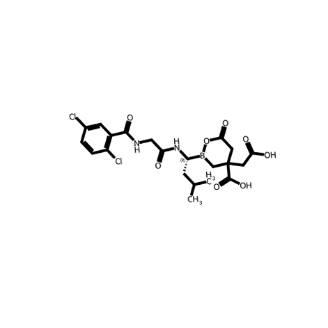 CC(C)C[C@H](NC(=O)CNC(=O)c1cc(Cl)ccc1Cl)B1CC(CC(=O)O)(C(=O)O)CC(=O)O1